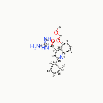 COCOc1cccc2nc(-c3ccccc3C)cc(C(=O)NC(=N)N)c12